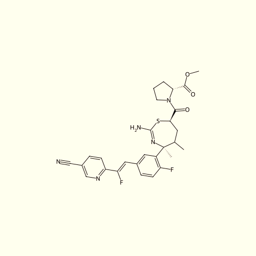 COC(=O)[C@H]1CCCN1C(=O)[C@H]1CC(C)[C@@](C)(c2cc(/C=C(\F)c3ccc(C#N)cn3)ccc2F)N=C(N)S1